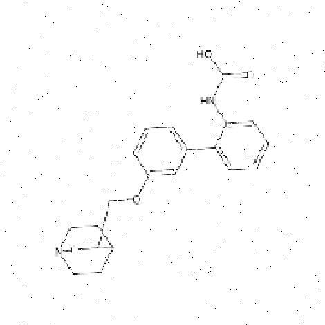 O=C(O)Nc1ccccc1-c1cccc(OCC2CN3CCC2CC3)c1